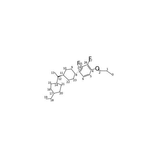 CCCOc1ccc([C@H]2CC[C@H](C(C)C3CCC(CC)CC3)CC2)c(F)c1F